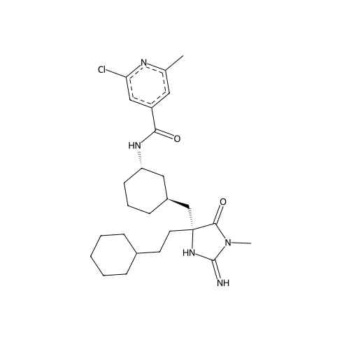 Cc1cc(C(=O)N[C@H]2CCC[C@H](C[C@@]3(CCC4CCCCC4)NC(=N)N(C)C3=O)C2)cc(Cl)n1